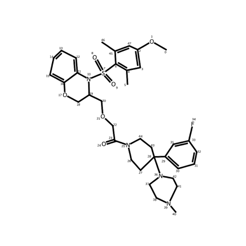 COc1cc(C)c(S(=O)(=O)N2c3ccccc3OCC2COCC(=O)N2CCC(c3cccc(F)c3)(N3CCN(C)CC3)CC2)c(C)c1